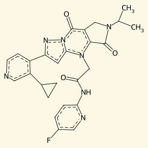 CC(C)N1Cc2c(n(CC(=O)Nc3ccc(F)cn3)c3cc(-c4ccncc4C4CC4)nn3c2=O)C1=O